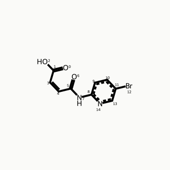 O=C(O)/C=C\C(=O)Nc1ccc(Br)cn1